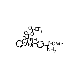 CCC(=O)C(NC(=O)c1ccc(C(N)=NOC)cc1)(Oc1ccccc1)C(=O)OC(=O)C(F)(F)F